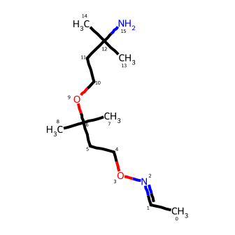 C/C=N/OCCC(C)(C)OCCC(C)(C)N